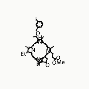 CC[C@H]1c2cc3[nH]c4c(c5nc(cc6[nH]c(cc(n2)[C@@H]1C)c(C(C)OCc1cccc(I)c1)c6C)C(C)=C5CCC(=O)OC)CC(=O)c4c3C